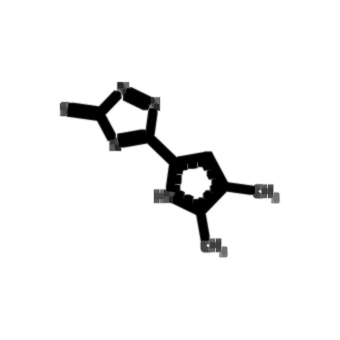 Cc1cc(C2=NC(=S)N=N2)[nH]c1C